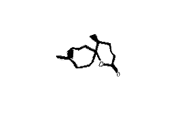 C=C1CCC(=O)OC12CC=C(C)CC2